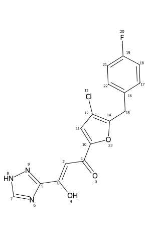 O=C(C=C(O)c1nc[nH]n1)c1cc(Cl)c(Cc2ccc(F)cc2)o1